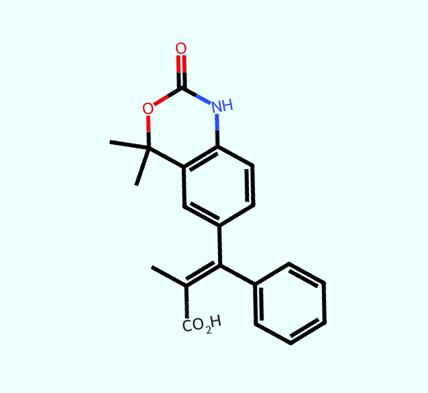 CC(C(=O)O)=C(c1ccccc1)c1ccc2c(c1)C(C)(C)OC(=O)N2